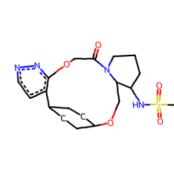 CS(=O)(=O)NC1CCCN2C(=O)COc3nnccc3C3CCC(CC3)OCC12